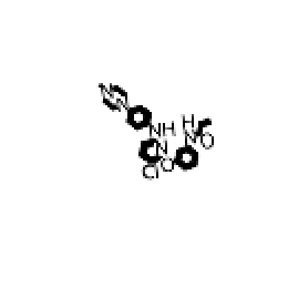 C=CC(=O)Nc1cccc(Oc2nc(Nc3ccc(N4CCN(C)CC4)cc3)ccc2Cl)c1